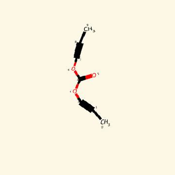 CC#COC(=O)OC#CC